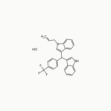 C=CCn1cc([C](c2ccc(C(F)(F)F)cc2)c2c[nH]c3ccccc23)c2ccccc21.Cl